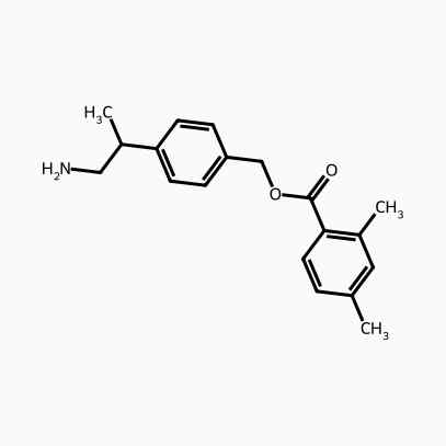 Cc1ccc(C(=O)OCc2ccc(C(C)CN)cc2)c(C)c1